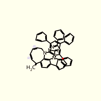 C=C1/C=C\C=C/CN(c2nc(-c3ccccc3)cc(-c3ccccc3)n2)c2c1ccc1c3ccccc3n(-c3nc(-c4ccccc4)cc(-c4ccccc4)n3)c21